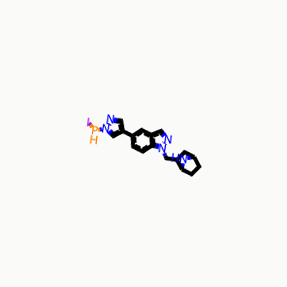 IPn1cc(-c2ccc3c(cnn3CC3CC4CCC3N4)c2)cn1